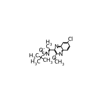 COc1nc2ccc(Cl)cc2nc1/C(C)=N/[S+]([O-])C(C)(C)C